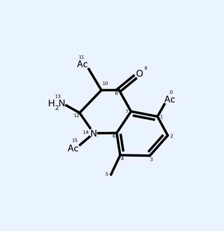 CC(=O)c1ccc(C)c2c1C(=O)C(C(C)=O)C(N)N2C(C)=O